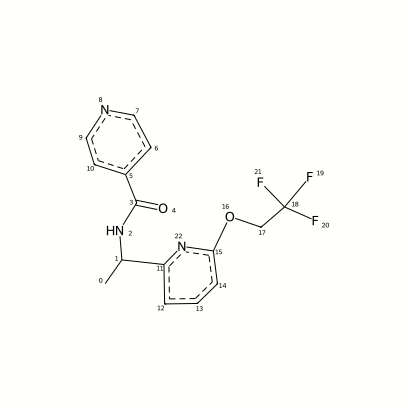 CC(NC(=O)c1ccncc1)c1cccc(OCC(F)(F)F)n1